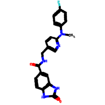 CN(c1ccc(F)cc1)c1ccc(CNC(=O)c2ccc3[nH]c(=O)[nH]c3c2)cn1